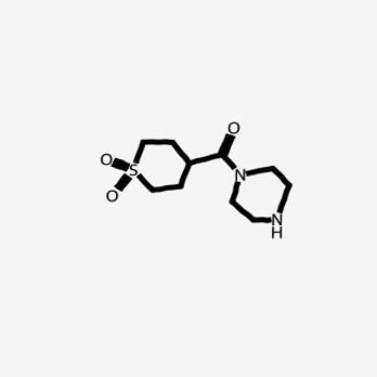 O=C(C1CCS(=O)(=O)CC1)N1CCNCC1